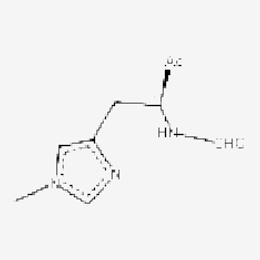 CC(=O)[C@H](Cc1cn(C)cn1)NC=O